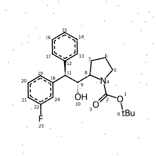 CC(C)(C)OC(=O)N1CCCC1[C@H](O)[C@H](c1ccccc1)c1cccc(F)c1